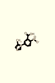 Cc1cncn1-c1ccc([N+](=O)[O-])c(C(=O)O)c1